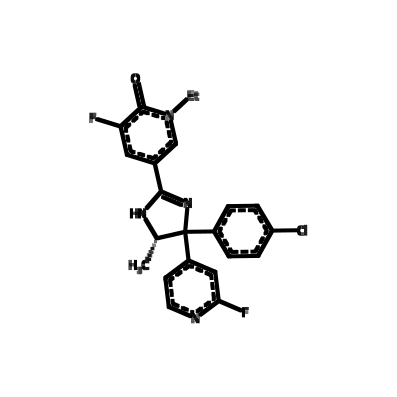 CCn1cc(C2=NC(c3ccc(Cl)cc3)(c3ccnc(F)c3)[C@H](C)N2)cc(F)c1=O